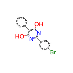 Oc1nc(-c2ccc(Br)cc2)nc(O)c1-c1ccccc1